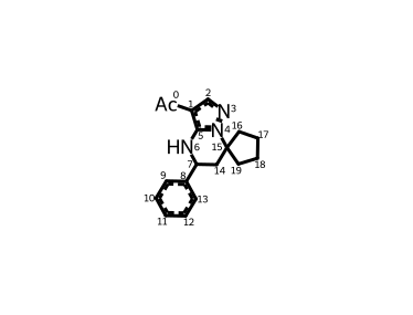 CC(=O)c1cnn2c1NC(c1ccccc1)CC21CCCC1